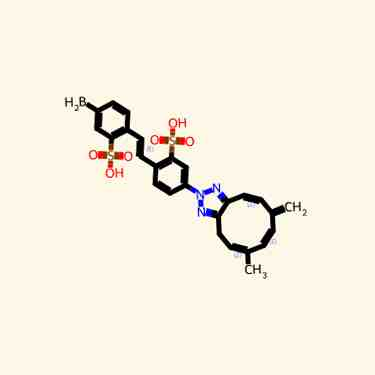 Bc1ccc(/C=C/c2ccc(-n3nc4c(n3)C/C=C(C)\C=C/C(=C)/C=C\4)cc2S(=O)(=O)O)c(S(=O)(=O)O)c1